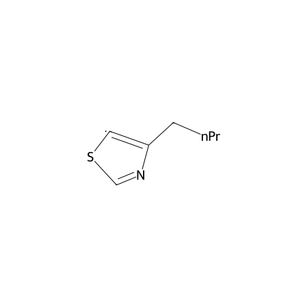 CCCCc1[c]scn1